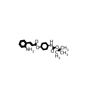 CC(C)(C)OC(=O)N[C@H]1CC[C@@H](OC(=O)/C=C/c2ccccc2N)CC1